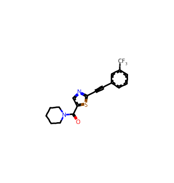 O=C(c1cnc(C#Cc2cccc(C(F)(F)F)c2)s1)N1CCCCC1